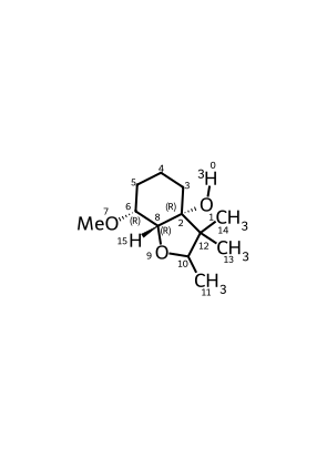 [3H]O[C@@]12CCC[C@@H](OC)[C@H]1OC(C)C2(C)C